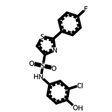 O=S(=O)(Nc1ccc(O)c(Cl)c1)c1csc(-c2ccc(F)cc2)n1